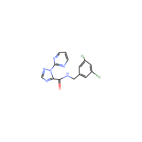 O=C(NCc1cc(Cl)cc(Cl)c1)c1ncnn1-c1ncccn1